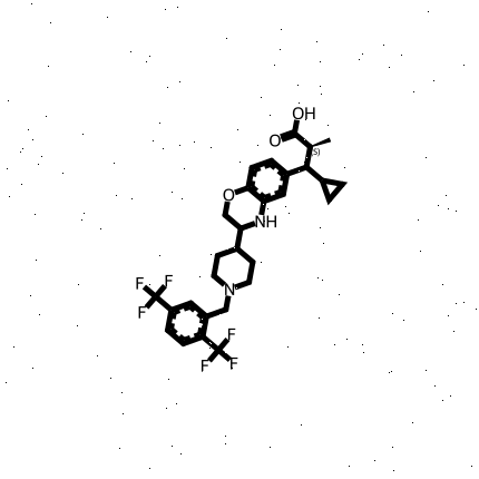 C[C@H](C(=O)O)C(c1ccc2c(c1)NC(C1CCN(Cc3cc(C(F)(F)F)ccc3C(F)(F)F)CC1)CO2)C1CC1